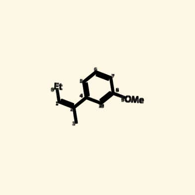 [CH2]C/C=C(/C)c1cccc(OC)c1